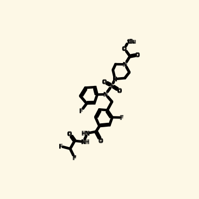 CC(C)(C)OC(=O)N1CCN(S(=O)(=O)N(Cc2ccc(C(=O)NNC(=O)C(F)F)cc2F)c2cccc(F)c2)CC1